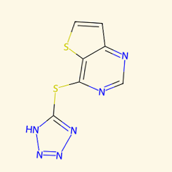 c1nc(Sc2nnn[nH]2)c2sccc2n1